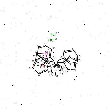 C[SiH](C)[Zr]([CH3])([CH3])([CH3])([CH3])([C]1=CC=CC1)([c]1ccccc1)([c]1ccccc1)([c]1ccccc1)[c]1ccc[pH]1.Cl.Cl